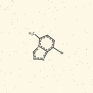 Cc1ccc(Br)c2nncn12